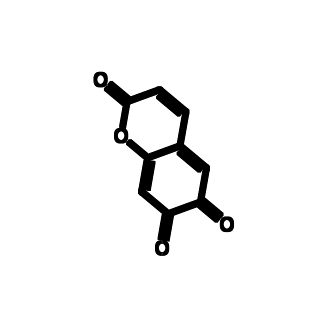 O=C1C=c2ccc(=O)oc2=CC1=O